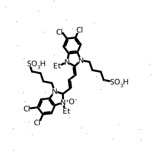 CCN1C(=CC=CC2N(CCCCS(=O)(=O)O)c3cc(Cl)c(Cl)cc3[N+]2([O-])CC)N(CCCCS(=O)(=O)O)c2cc(Cl)c(Cl)cc21